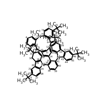 CN1c2ccccc2C(=O)c2cc(cc(-c3c(-n4c5c(c6cc(C(C)(C)C)ccc64)CC(C(C)(C)C)C=C5)cccc3-n3c4ccc(C(C)(C)C)cc4c4cc(C(C)(C)C)ccc43)c2)C(=O)c2cc(C(C)(C)C)ccc21